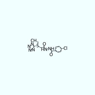 Cn1nnnc1SCC(=O)NNC(=O)c1ccc(Cl)cc1